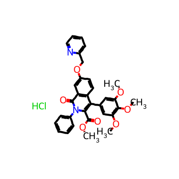 COC(=O)c1c(-c2cc(OC)c(OC)c(OC)c2)c2ccc(OCc3ccccn3)cc2c(=O)n1-c1ccccc1.Cl